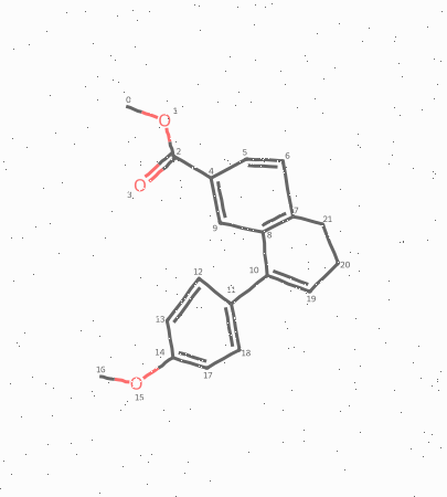 COC(=O)c1ccc2c(c1)C(c1ccc(OC)cc1)=CCC2